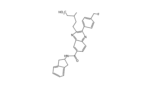 CC(CCc1nc2cc(C(=O)NC3Cc4ccccc4C3)ccc2nc1-c1ccc(CF)cc1)CC(=O)O